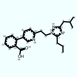 CCCc1nc(CC(C)C)nn1CCc1ccc(-c2ccccc2C(=O)O)cn1